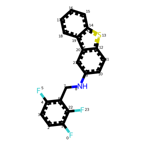 Fc1ccc(F)c(CNc2ccc3sc4ccccc4c3c2)c1F